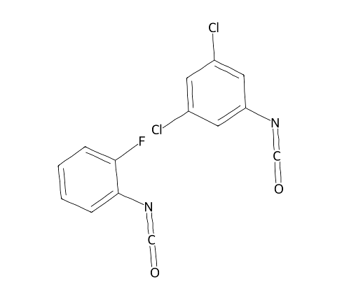 O=C=Nc1cc(Cl)cc(Cl)c1.O=C=Nc1ccccc1F